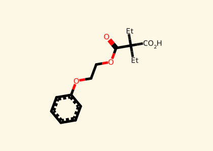 CCC(CC)(C(=O)O)C(=O)OCCOc1ccccc1